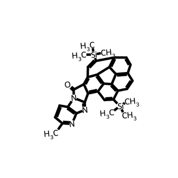 Cc1ccc2c(n1)nc1c3c4cc([Si](C)(C)C)c5ccc6ccc7c([Si](C)(C)C)cc(c3c(=O)n21)c1c7c6c5c41